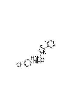 Cc1ccccc1-c1nc(C(=O)NNc2ccc(Cl)cc2)cs1